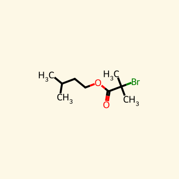 CC(C)CCOC(=O)C(C)(C)Br